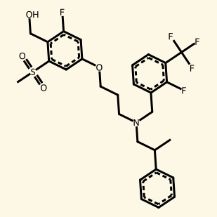 CC(CN(CCCOc1cc(F)c(CO)c(S(C)(=O)=O)c1)Cc1cccc(C(F)(F)F)c1F)c1ccccc1